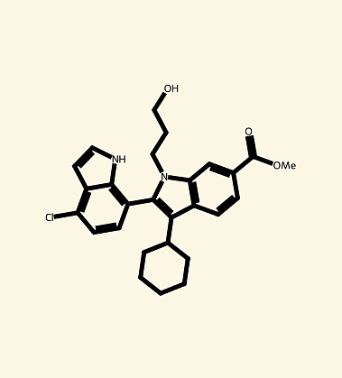 COC(=O)c1ccc2c(C3CCCCC3)c(-c3ccc(Cl)c4cc[nH]c34)n(CCCO)c2c1